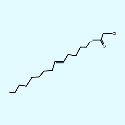 CCCCCCCC/C=C/CCCCOC(=O)CCl